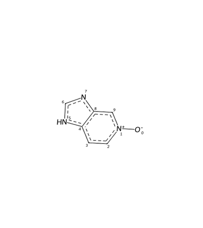 [O-][n+]1ccc2[nH]cnc2c1